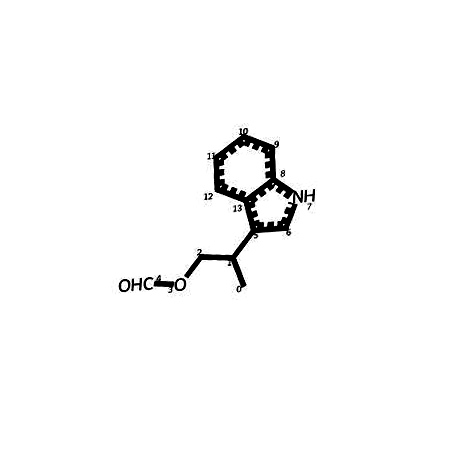 CC(COC=O)c1c[nH]c2ccccc12